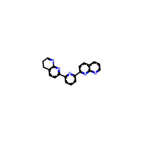 C1=Nc2nc(-c3cccc(-c4ccc5cccnc5n4)n3)ccc2CC1